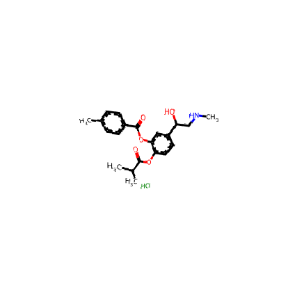 CNCC(O)c1ccc(OC(=O)C(C)C)c(OC(=O)c2ccc(C)cc2)c1.Cl